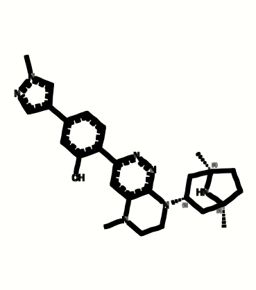 CN1CCN([C@H]2C[C@]3(C)CC[C@](C)(C2)N3)c2nnc(-c3ccc(-c4cnn(C)c4)cc3O)cc21